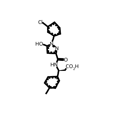 Cc1ccc([C@H](CC(=O)O)NC(=O)c2cc(O)n(-c3cccc(Cl)c3)n2)cc1